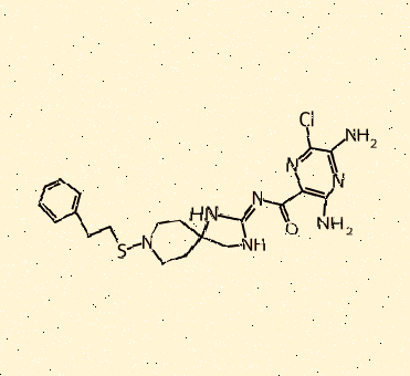 Nc1nc(N)c(C(=O)/N=C2\NCC3(CCN(SCCc4ccccc4)CC3)N2)nc1Cl